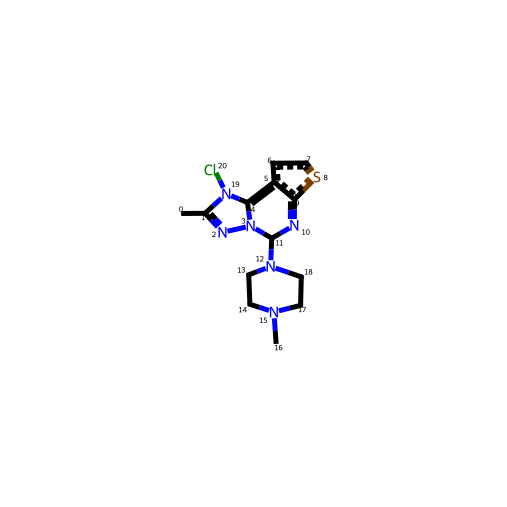 CC1=NN2C(=c3ccsc3=NC2N2CCN(C)CC2)N1Cl